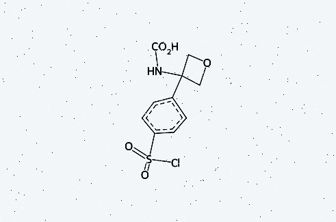 O=C(O)NC1(c2ccc(S(=O)(=O)Cl)cc2)COC1